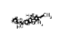 CC#Cc1cc(C)c(C2C(=O)CC3(CCN(C(=O)C(=O)Nc4ccccn4)CC3)CC2=O)c(C)c1